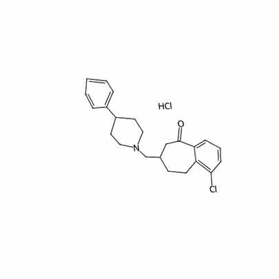 Cl.O=C1CC(CN2CCC(c3ccccc3)CC2)CCc2c(Cl)cccc21